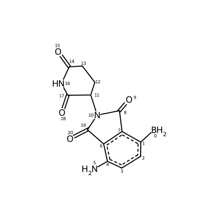 Bc1ccc(N)c2c1C(=O)N(C1CCC(=O)NC1=O)C2=O